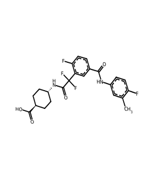 Cc1cc(NC(=O)c2ccc(F)c(C(F)(F)C(=O)N[C@H]3CC[C@H](C(=O)O)CC3)c2)ccc1F